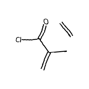 C=C.C=C(C)C(=O)Cl